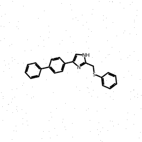 c1ccc(SCc2nc(-c3ccc(-c4ccccc4)cc3)c[nH]2)cc1